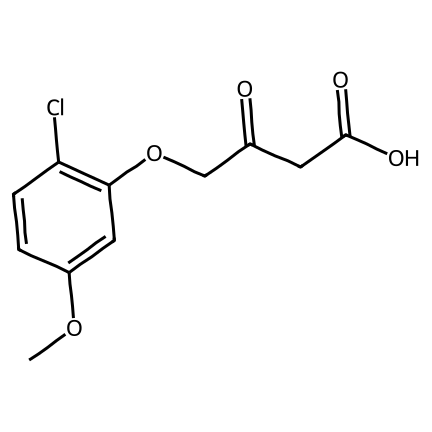 COc1ccc(Cl)c(OCC(=O)CC(=O)O)c1